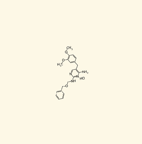 COc1ccc(Cc2cnc(NCOCc3ccccc3)nc2N)cc1OC.Cl